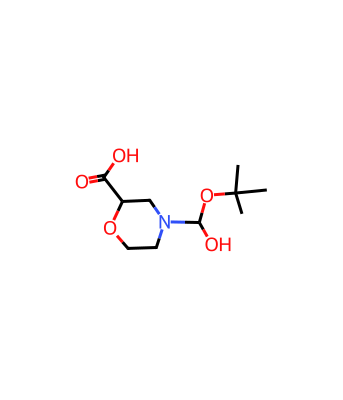 CC(C)(C)OC(O)N1CCOC(C(=O)O)C1